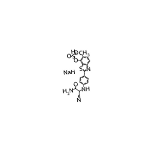 Cc1ccc2nc(-c3ccc(NC(C#N)C(N)=O)cc3)sc2c1O[SH](=O)=O.[NaH]